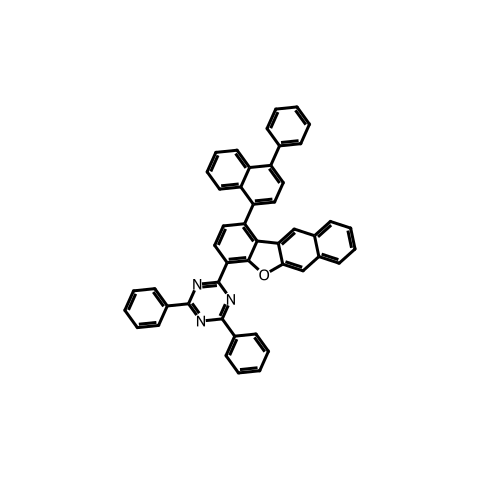 c1ccc(-c2nc(-c3ccccc3)nc(-c3ccc(-c4ccc(-c5ccccc5)c5ccccc45)c4c3oc3cc5ccccc5cc34)n2)cc1